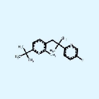 Cc1nc(C(C)(C)C)ccc1CC(C)(C)c1ccc(F)cn1